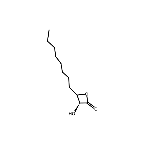 CCCCCCCCC1OC(=O)[C@H]1O